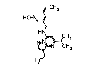 C\C=C/C=C(\C=N\O)CNc1cc(C(C)C)nc2c(CC)cnn12